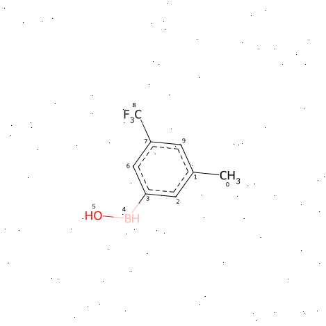 Cc1cc(BO)cc(C(F)(F)F)c1